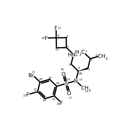 CC(C)C[C@H](CNC1CC(F)(F)C1)N(C)S(=O)(=O)c1cc(Br)c(F)cc1F